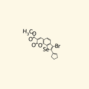 COC(=O)c1cc2ccc3c(Br)c(C4=CCCC4)[se]c3c2oc1=O